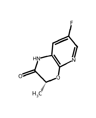 C[C@H]1Oc2ncc(F)cc2NC1=O